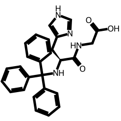 O=C(O)CNC(=O)[C@H](Cc1c[nH]cn1)NC(c1ccccc1)(c1ccccc1)c1ccccc1